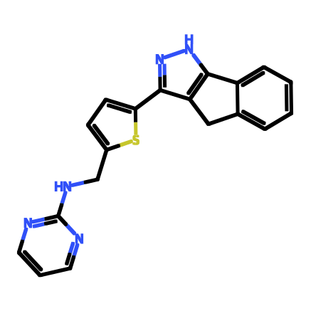 c1cnc(NCc2ccc(-c3n[nH]c4c3Cc3ccccc3-4)s2)nc1